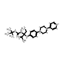 CCC(NC(=O)OC(C)(C)C)(Oc1ccc(N2CCN(c3ccncc3)CC2)cc1)C(=O)O